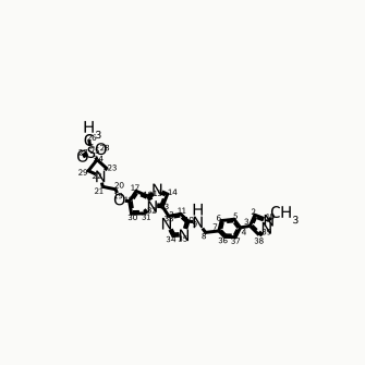 Cn1cc(-c2ccc(CNc3cc(-c4cnc5cc(OCCN6CC(S(C)(=O)=O)C6)ccn45)ncn3)cc2)cn1